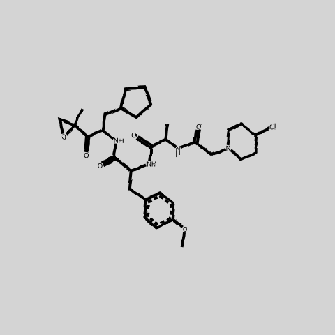 COc1ccc(CC(NC(=O)C(C)NC(=O)CN2CCC(Cl)CC2)C(=O)NC(CC2CCCC2)C(=O)C2(C)CO2)cc1